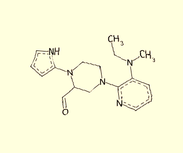 CCN(C)c1cccnc1N1CCN(c2ccc[nH]2)C(C=O)C1